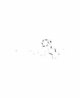 CCCCC[C@H]1CC[C@H](C2(c3ccccc3)C=CC(C3(Br)CCCCC3)=CC2=C=O)CC1